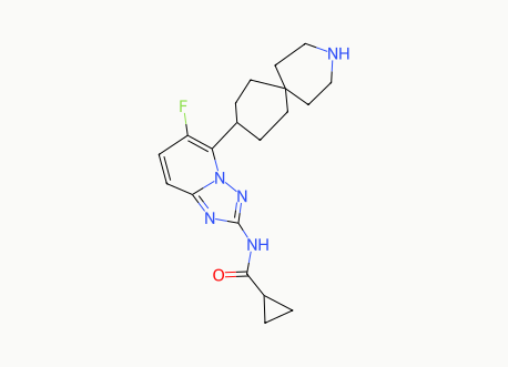 O=C(Nc1nc2ccc(F)c(C3CCC4(CCNCC4)CC3)n2n1)C1CC1